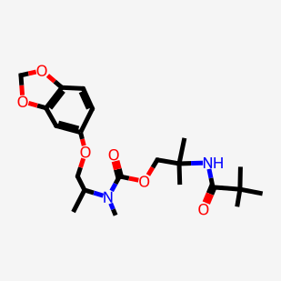 CC(COc1ccc2c(c1)OCO2)N(C)C(=O)OCC(C)(C)NC(=O)C(C)(C)C